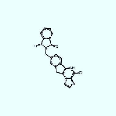 O=C1c2ccccc2C(=O)N1Cc1ccc2c(c1)Cc1c-2[nH]c(=O)c2nccn12